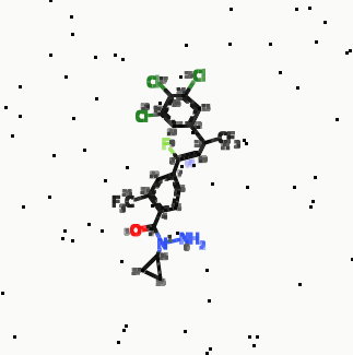 NN(C(=O)c1ccc(/C(F)=C/C(c2cc(Cl)c(Cl)c(Cl)c2)C(F)(F)F)cc1C(F)(F)F)C1CC1